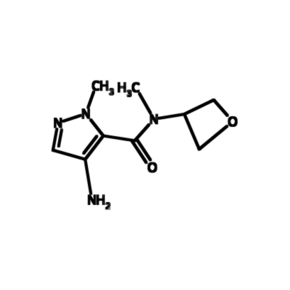 CN(C(=O)c1c(N)cnn1C)C1COC1